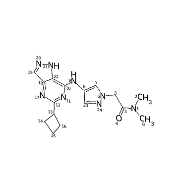 CN(C)C(=O)Cn1cc(Nc2nc(C3CCC3)nc3cn[nH]c23)cn1